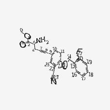 COC(=O)[C@@H](N)CC#Cc1ccc(OCc2ccccc2F)c(C#N)c1